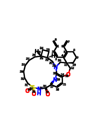 C=C/C=C\C1=C(C=C)CCC[C@]12COc1ccc3nc1N(C[C@@H]1CC[C@H]1CCCCCCS(=O)(=O)NC3=O)C2